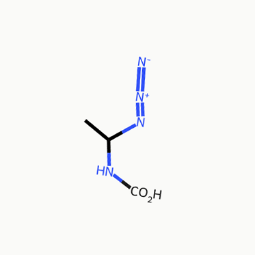 CC(N=[N+]=[N-])NC(=O)O